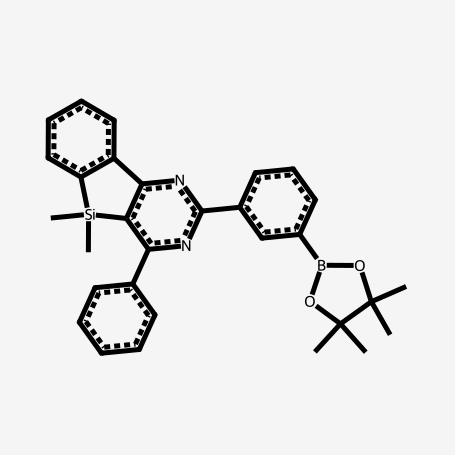 CC1(C)OB(c2cccc(-c3nc(-c4ccccc4)c4c(n3)-c3ccccc3[Si]4(C)C)c2)OC1(C)C